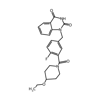 CCOC1CCN(C(=O)c2cc(Cn3c(=O)[nH]c(=O)c4ccccc43)ccc2F)CC1